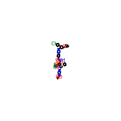 CC(C)(C)OC(=O)N1CCN(CC[C@H](CSc2ccccc2)Nc2ccc(S(=O)(=O)NC(=O)c3ccc(N4CCN(CC5=C(c6ccc(Cl)cc6)CC[C@@](C)(CO[Si](C)(C)C(C)(C)C)C5)CC4)cc3)cc2S(=O)(=O)C(F)(F)F)CC1